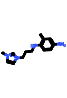 Cc1cc(N)ccc1NCCCn1cc[n+](C)c1